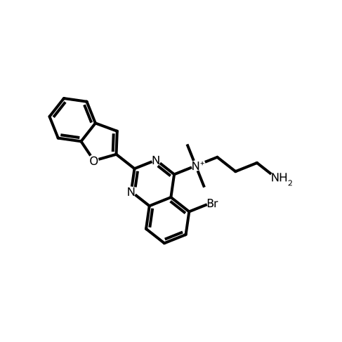 C[N+](C)(CCCN)c1nc(-c2cc3ccccc3o2)nc2cccc(Br)c12